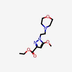 CCOC(=O)c1cc(OC)n(CCN2CCOCC2)n1